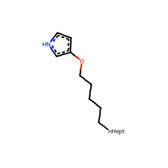 CCCCCCCCCCCCOc1cc[nH]c1